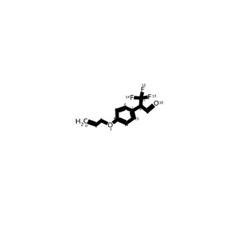 C=CCOc1ccc(C(C=O)C(F)(F)F)cc1